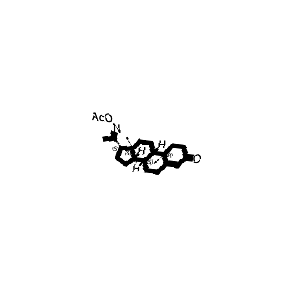 CC(=O)ON=C(C)[C@H]1CC[C@H]2[C@@H]3CCC4=CC(=O)CC[C@]4(C)[C@H]3CC[C@]12C